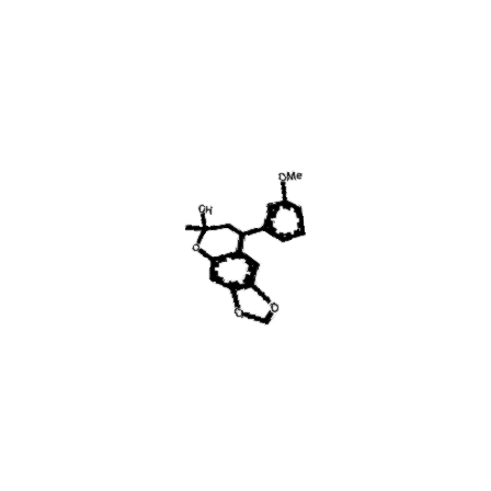 COc1cccc(C2CC(C)(O)Oc3cc4c(cc32)OCO4)c1